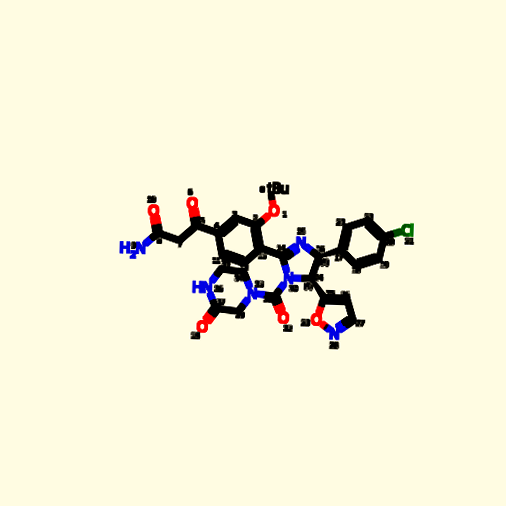 CC(C)(C)Oc1cc(C(=O)CC(N)=O)ccc1C1=N[C@@H](c2ccc(Cl)cc2)[C@@H](c2ccno2)N1C(=O)N1CCNC(=O)C1